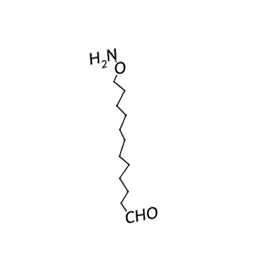 NOCCCCCCCCCCCC=O